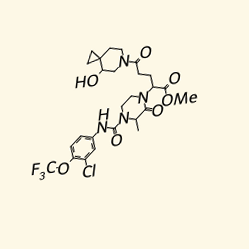 COC(=O)C(CCC(=O)N1CCC2(CC2)C(O)C1)N1CCN(C(=O)Nc2ccc(OC(F)(F)F)c(Cl)c2)C(C)C1=O